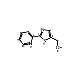 OCc1cnc(-c2ccccn2)s1